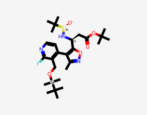 Cc1noc([C@H](CC(=O)OC(C)(C)C)N[S@@+]([O-])C(C)(C)C)c1-c1ccnc(F)c1CO[Si](C)(C)C(C)(C)C